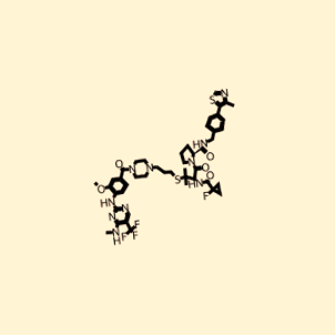 CNc1nc(Nc2ccc(C(=O)N3CCN(CCCSC(C)(C)[C@H](NC(=O)C4(F)CC4)C(=O)N4CCC[C@H]4C(=O)NCc4ccc(-c5scnc5C)cc4)CC3)cc2OC)ncc1C(F)(F)F